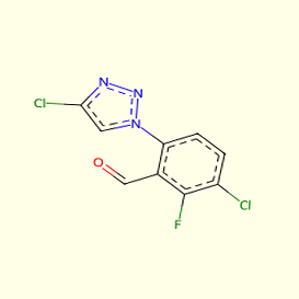 O=Cc1c(-n2cc(Cl)nn2)ccc(Cl)c1F